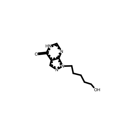 O=c1[nH]cnc2c1cnn2CCCCCO